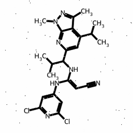 Cc1nn(C)c2nc(C(N/C(=C\C#N)Nc3cc(Cl)nc(Cl)c3)C(C)C)cc(C(C)C)c12